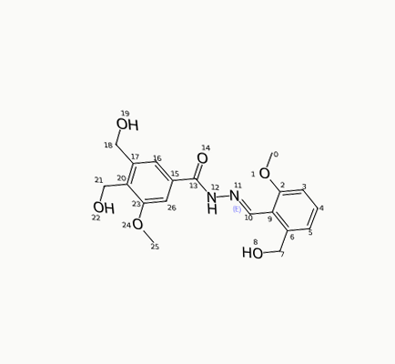 COc1cccc(CO)c1/C=N/NC(=O)c1cc(CO)c(CO)c(OC)c1